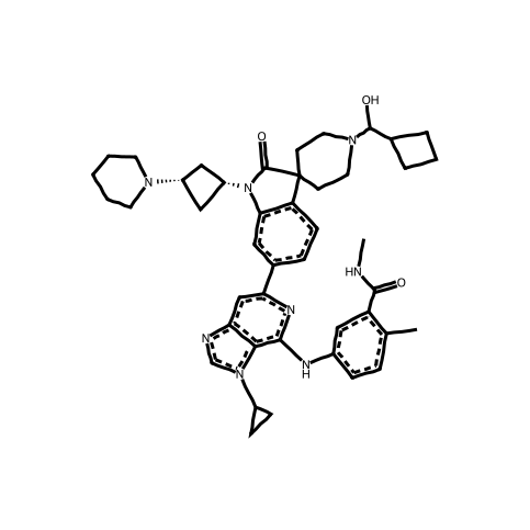 CNC(=O)c1cc(Nc2nc(-c3ccc4c(c3)N([C@H]3C[C@@H](N5CCCCC5)C3)C(=O)C43CCN(C(O)C4CCC4)CC3)cc3ncn(C4CC4)c23)ccc1C